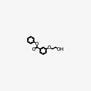 O=C(Oc1ccccc1)c1cccc(OCCO)c1